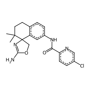 CC1(C)CCc2ccc(NC(=O)c3ccc(Cl)cn3)cc2C12COC(N)=N2